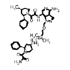 C[C@H]1CCN(C(=O)C(=O)Nc2cnc(N)c3cnn(COCC[Si](C)(C)C)c23)[C@@H](c2ccccc2)C1.C[C@H]1CCN(C(=O)C(N)=O)[C@@H](c2ccccc2)C1